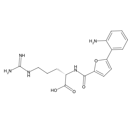 N=C(N)NCCC[C@H](NC(=O)c1ccc(-c2ccccc2N)o1)C(=O)O